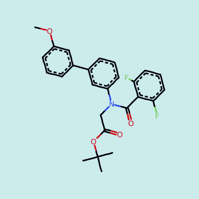 COc1cccc(-c2cccc(N(CC(=O)OC(C)(C)C)C(=O)c3c(F)cccc3F)c2)c1